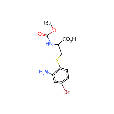 CC(C)(C)OC(=O)NC(CSc1ccc(Br)cc1N)C(=O)O